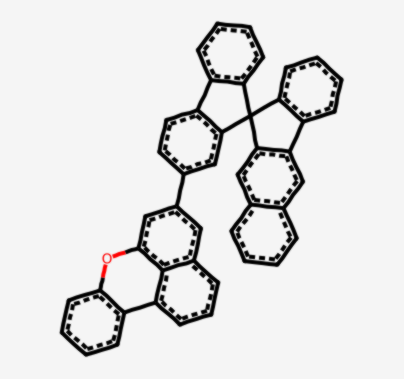 c1ccc2c(c1)Oc1cc(-c3ccc4c(c3)C3(c5ccccc5-4)c4ccccc4-c4cc5ccccc5cc43)cc3cccc-2c13